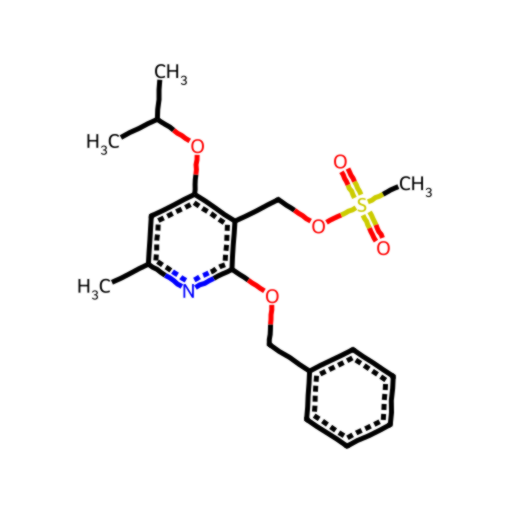 Cc1cc(OC(C)C)c(COS(C)(=O)=O)c(OCc2ccccc2)n1